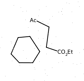 C1CCCCC1.CCOC(=O)CCC(C)=O